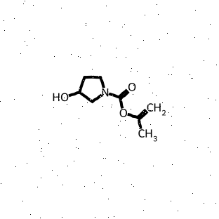 C=C(C)OC(=O)N1CCC(O)C1